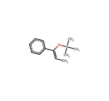 CC=C(O[Si](C)(C)C)c1ccccc1